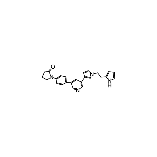 O=C1CCCN1c1ccc(-c2cncc(-c3ccn(CCc4ccc[nH]4)c3)c2)cc1